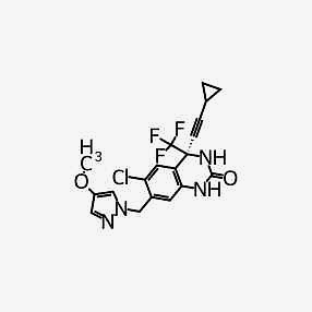 COc1cnn(Cc2cc3c(cc2Cl)[C@@](C#CC2CC2)(C(F)(F)F)NC(=O)N3)c1